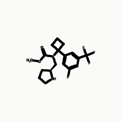 COC(=O)N(C[C@@H]1CCCN1)C1(c2cc(F)cc(C(F)(F)F)c2)CCC1